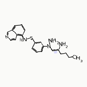 CCCC/C(N)=C/N(N)c1cccc(SNc2cccc3cnccc23)c1